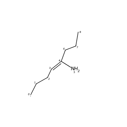 [CH2]CCC=C(N)CCC